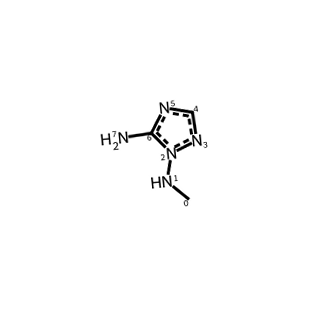 CNn1ncnc1N